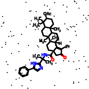 CC(=O)O[C@H]1CC[C@@]2(C)C(CC[C@]3(C)C2CC[C@@H]2C4=C(C(C)C)C(=O)C[C@]4(C(=O)NC(C)(C)c4ncc(-c5ccccc5)[nH]4)CC[C@]23C)C1(C)C